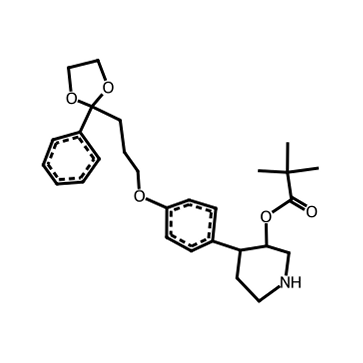 CC(C)(C)C(=O)OC1CNCCC1c1ccc(OCCCC2(c3ccccc3)OCCO2)cc1